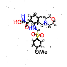 COc1ccc(S(=O)(=O)CNc2c(CN3CCOCC3)cccc2C(=O)NO)cc1